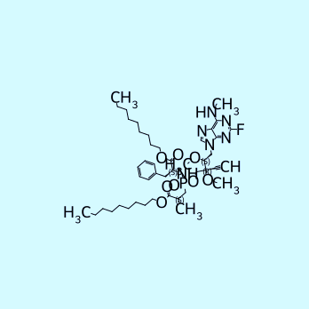 C#C[C@](COP(=O)(C[C@@H](C)C(=O)OCCCCCCCCC)N[C@@H](Cc1ccccc1)C(=O)OCCCCCCCCC)(OC)[C@H](Cn1cnc2c(NC)nc(F)nc21)OC